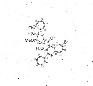 COC(=O)C(C)(CNC(=O)c1c(C)c(-c2ccccc2)nc2ccc(Br)cc12)c1ccccc1Cl